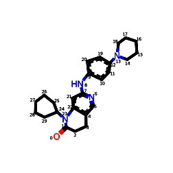 O=C1CCc2cnc(Nc3ccc(N4CCCCC4)cc3)cc2N1C1CCCCC1